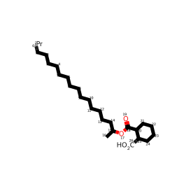 CC(C)CCCCCCCCCCCCCCC(C)OC(=O)C1CCCCC1C(=O)O